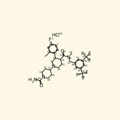 Cc1cc(F)ccc1C1CN(C2CCN(C(N)=O)CC2)CCC1C(=O)N(C)Cc1cc(C(F)(F)F)cc(C(F)(F)F)c1.Cl